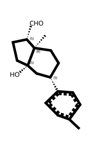 Cc1ccc([C@H]2CC[C@]3(C)[C@@H](C=O)CC[C@]3(O)C2)cc1